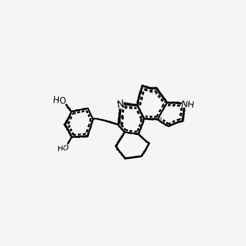 Oc1cc(O)cc(-c2nc3ccc4[nH]ccc4c3c3c2CCCC3)c1